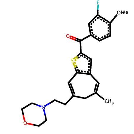 COc1ccc(C(=O)c2cc3c(s2)C=C(CCN2CCOCC2)CC(C)=C3)cc1F